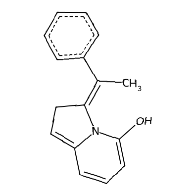 C/C(=C1/CC=C2C=CC=C(O)N21)c1ccccc1